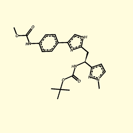 COC(=O)Nc1ccc(-c2c[nH]c(C[C@H](NC(=O)OC(C)(C)C)c3ccn(C)n3)n2)cc1